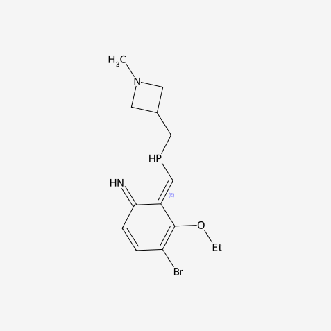 CCOC1=C(Br)C=CC(=N)/C1=C\PCC1CN(C)C1